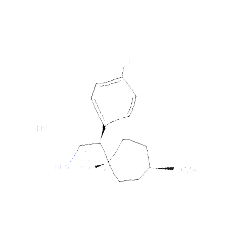 CO[C@H]1CC[C@](C)([C@H](c2ccc(Cl)cc2)[C@H](N)C(=O)O)CC1